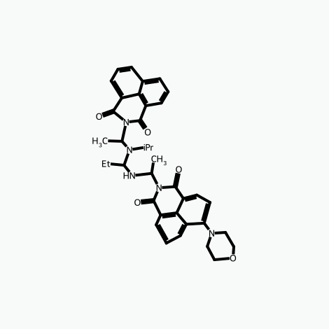 CCC(NC(C)N1C(=O)c2cccc3c(N4CCOCC4)ccc(c23)C1=O)N(C(C)C)C(C)N1C(=O)c2cccc3cccc(c23)C1=O